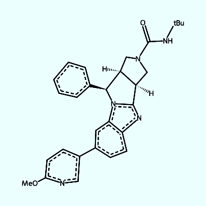 COc1ccc(-c2ccc3nc4n(c3c2)[C@@H](c2ccccc2)[C@H]2CN(C(=O)NC(C)(C)C)C[C@@H]42)cn1